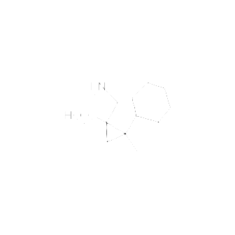 CC1(C2CCCCC2)CC1(CN)C(=O)O